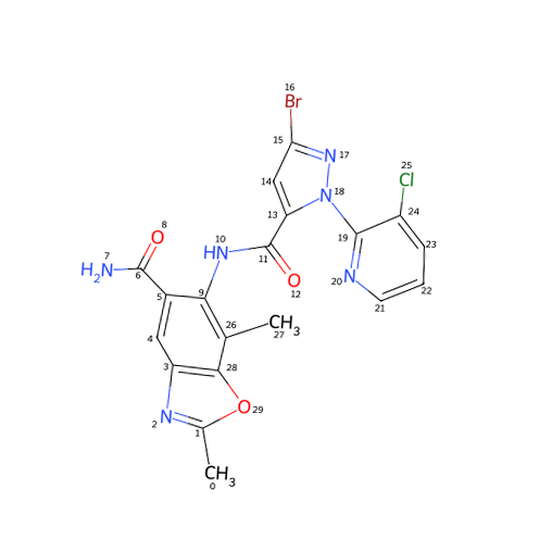 Cc1nc2cc(C(N)=O)c(NC(=O)c3cc(Br)nn3-c3ncccc3Cl)c(C)c2o1